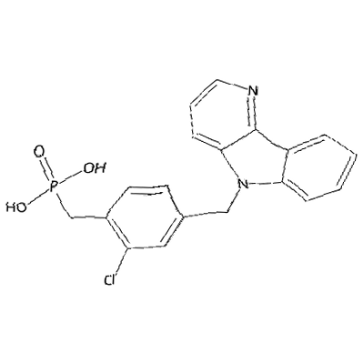 O=P(O)(O)Cc1ccc(Cn2c3ccccc3c3ncccc32)cc1Cl